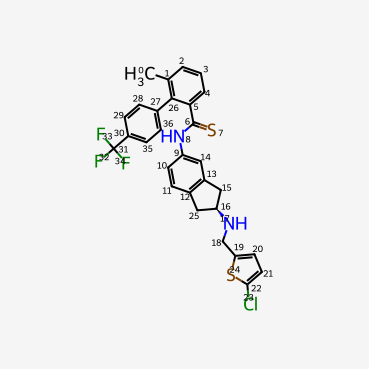 Cc1cccc(C(=S)Nc2ccc3c(c2)C[C@@H](NCc2ccc(Cl)s2)C3)c1-c1ccc(C(F)(F)F)cc1